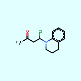 CC(=O)CC(Cl)N1CCCc2ccccc21